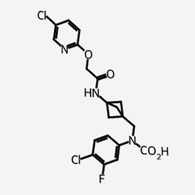 O=C(COc1ccc(Cl)cn1)NC12CC(CN(C(=O)O)c3ccc(Cl)c(F)c3)(C1)C2